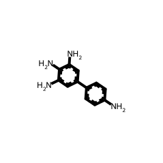 Nc1ccc(-c2cc(N)c(N)c(N)c2)cc1